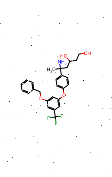 CC(N)(CC(O)CCO)c1ccc(Oc2cc(OCc3ccccc3)cc(C(F)(F)F)c2)cc1